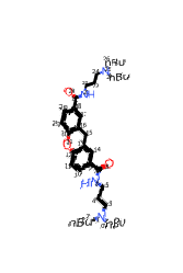 CCCCN(CCCC)CCCNC(=O)c1ccc2c(c1)Cc1cc(C(=O)NCCCN(CCCC)CCCC)ccc1O2